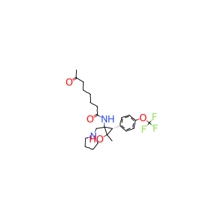 CC(=O)CCCCCC(=O)NC1(CN2CCCC2)[C@H](c2ccc(OC(F)(F)F)cc2)C1(C)O